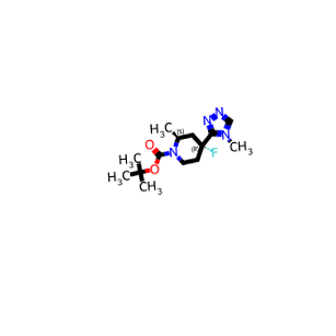 C[C@H]1C[C@@](F)(c2nncn2C)CCN1C(=O)OC(C)(C)C